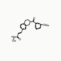 COc1cccc(C(=O)N2CCc3ccc(C=CC(=O)NO)cc3C2)c1